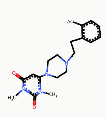 CC(=O)c1ccccc1CCN1CCN(c2cc(=O)n(C)c(=O)n2C)CC1